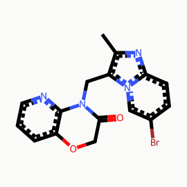 Cc1nc2ccc(Br)cn2c1CN1C(=O)COc2cccnc21